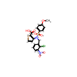 COc1ccc(S(=O)(=O)N(Cc2cccc([N+](=O)[O-])c2Br)c2ccsc2C(=O)O)cc1